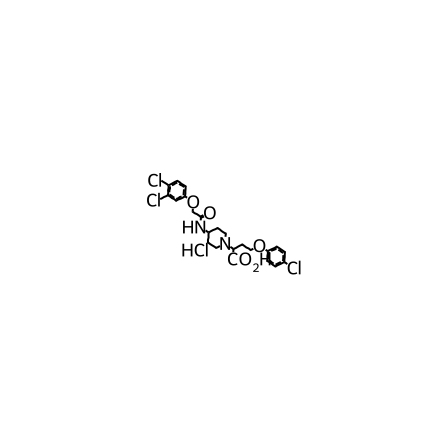 Cl.O=C(COc1ccc(Cl)c(Cl)c1)NC1CCN(C(CCOc2ccc(Cl)cc2)C(=O)O)CC1